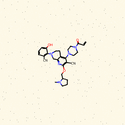 C=CC(=O)N1CCN(c2c(C#N)c(OCC3CCCN3C)nc3c2CCN(c2c(O)cccc2C#N)C3)CC1